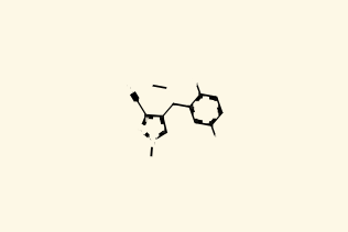 CC[C@H](c1cc(F)ccc1Cl)c1cn(C)nc1C#N